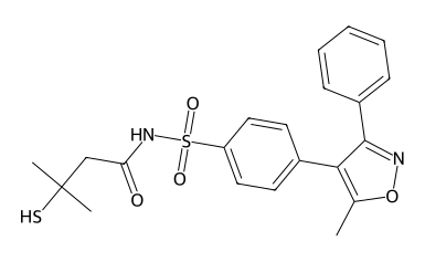 Cc1onc(-c2ccccc2)c1-c1ccc(S(=O)(=O)NC(=O)CC(C)(C)S)cc1